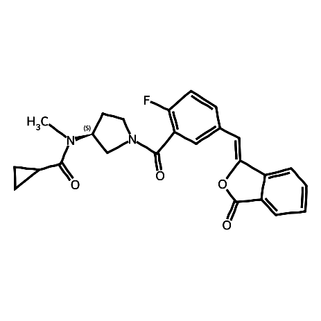 CN(C(=O)C1CC1)[C@H]1CCN(C(=O)c2cc(C=C3OC(=O)c4ccccc43)ccc2F)C1